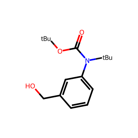 CC(C)(C)OC(=O)N(c1cccc(CO)c1)C(C)(C)C